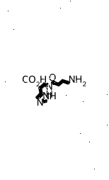 NCCCC(=O)N[C@H](Cc1cnc[nH]1)C(=O)O